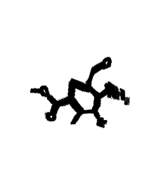 COC(=O)c1cc(C=O)c(N)c(Br)c1C